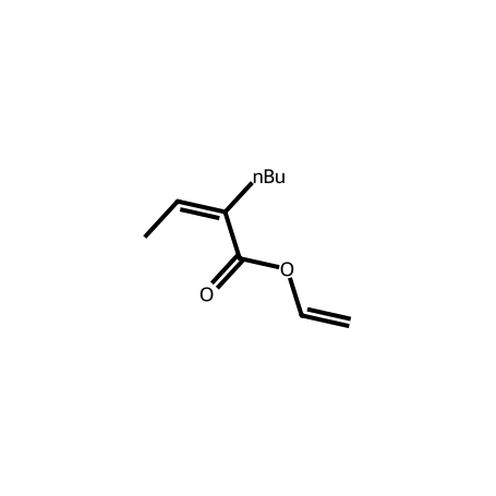 C=COC(=O)C(=CC)CCCC